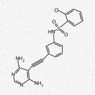 Nc1ncnc(N)c1C#Cc1cccc(NS(=O)(=O)c2ccccc2Cl)c1